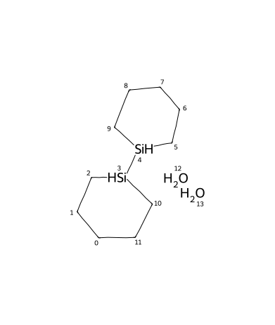 C1CC[SiH]([SiH]2CCCCC2)CC1.O.O